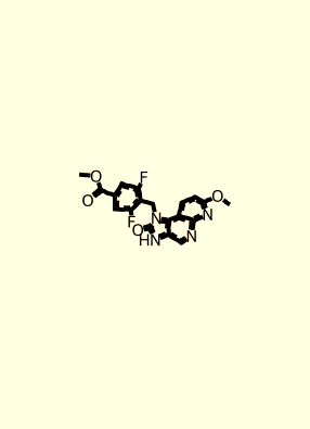 COC(=O)c1cc(F)c(Cn2c(=O)[nH]c3cnc4nc(OC)ccc4c32)c(F)c1